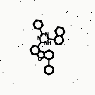 c1ccc(C2=NC(c3cccc4oc5c(-c6ccccc6)cccc5c34)NC(c3cccc4ccccc34)=N2)cc1